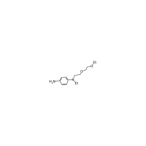 CCOCCOCCN(CC)c1ccc(N)cc1